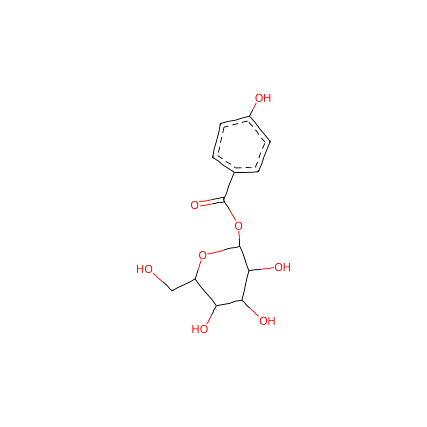 O=C(OC1OC(CO)C(O)C(O)C1O)c1ccc(O)cc1